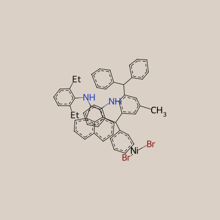 CCc1cccc(CC)c1NC1c2cccc3cccc(c23)C1Nc1c(C(c2ccccc2)c2ccccc2)cc(C)cc1C(c1ccccc1)c1ccccc1.[Br][Ni][Br]